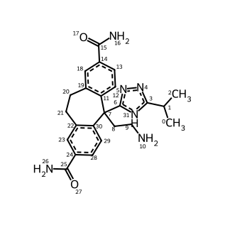 CC(C)c1nnc(C2(CCN)c3ccc(C(N)=O)cc3CCc3cc(C(N)=O)ccc32)[nH]1